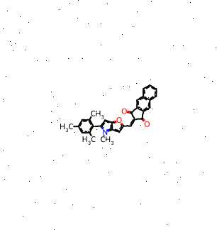 Cc1cc(C)c(-c2cc3oc(C=C4C(=O)c5cc6ccccc6cc5C4=O)cc3n2C)c(C)c1